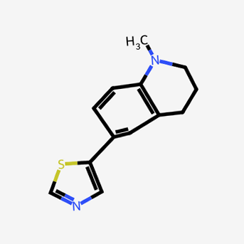 CN1CCCc2cc(-c3cncs3)ccc21